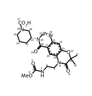 COC(=O)NCCN1C(=O)C(C)(C)Oc2cc(Br)c(C(=O)N(C(C)C)[C@@H]3CCCN(C(=O)O)C3)cc21